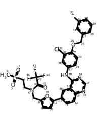 CS(=O)(=O)CCN(Cc1ccc(-c2ccc3ncnc(Nc4ccc(OCc5cccc(F)c5)c(Cl)c4)c3c2)o1)C(=O)C(F)(F)F